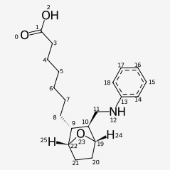 O=C(O)CCCCCC[C@@H]1[C@@H](CNc2ccccc2)[C@@H]2CC[C@H]1O2